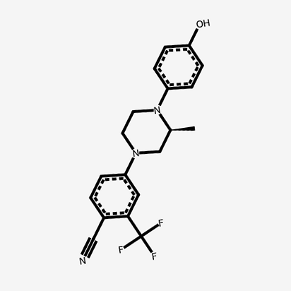 C[C@H]1CN(c2ccc(C#N)c(C(F)(F)F)c2)CCN1c1ccc(O)cc1